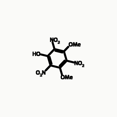 COc1c([N+](=O)[O-])c(O)c([N+](=O)[O-])c(OC)c1[N+](=O)[O-]